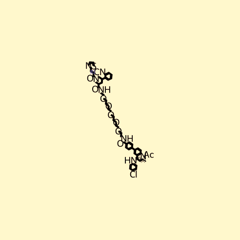 CC(=O)N1c2ccc(-c3ccc(C(=O)NCCOCCOCCOCCOCCOCCNC(=O)C4CC(c5ccccc5)CN(C(=O)/C(C#N)=C/c5nccs5)C4)cc3)cc2[C@H](Nc2ccc(Cl)cc2)C[C@@H]1C